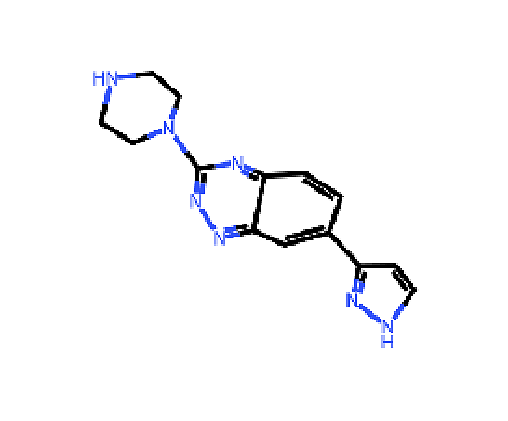 c1cc(-c2ccc3nc(N4CCNCC4)nnc3c2)n[nH]1